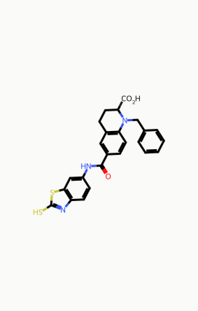 O=C(Nc1ccc2nc(S)sc2c1)c1ccc2c(c1)CCC(C(=O)O)N2Cc1ccccc1